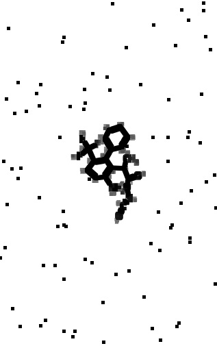 CC(C(=O)ON=C=O)c1c(N)ccc(C(F)(F)F)c1-c1ccccc1